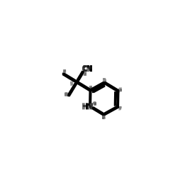 CC(C)(C#N)C1=CC=CCN1